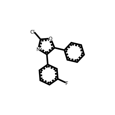 Fc1cccc(-c2nc(Cl)oc2-c2ccccc2)c1